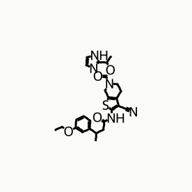 CCOc1cccc(C(C)CC(=O)Nc2sc3c(c2C#N)CCN(C(=O)OC(C)c2ncc[nH]2)C3)c1